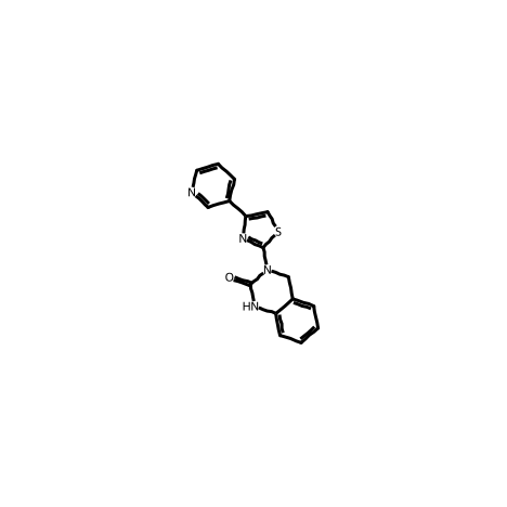 O=C1Nc2ccccc2CN1c1nc(-c2cccnc2)cs1